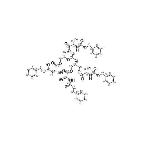 CC(C)[C@H](NC(=O)OCc1ccccc1)C(=O)OCC(COC(=O)[C@@H](NC(=O)OCc1ccccc1)C(C)C)OC(=O)OC(COC(=O)[C@@H](NC(=O)OCc1ccccc1)C(C)C)COC(=O)[C@@H](NC(=O)OCc1ccccc1)C(C)C